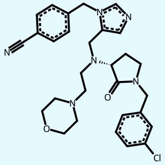 N#Cc1ccc(Cn2cncc2CN(CCN2CCOCC2)[C@@H]2CCN(Cc3cccc(Cl)c3)C2=O)cc1